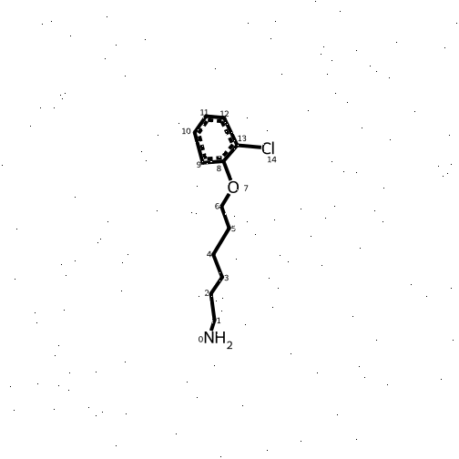 NCCCCCCOc1ccccc1Cl